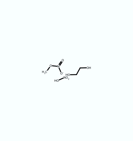 CO[N+](=O)[O-].O=[N+]([O-])O.OCCO